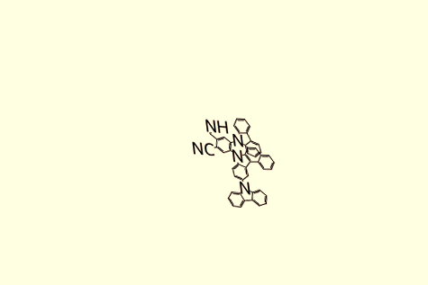 N#Cc1cc(-n2c3ccc(-n4c5ccccc5c5ccccc54)cc3c3c4ccccc4ccc32)c(-n2c3ccccc3c3ccccc32)cc1C=N